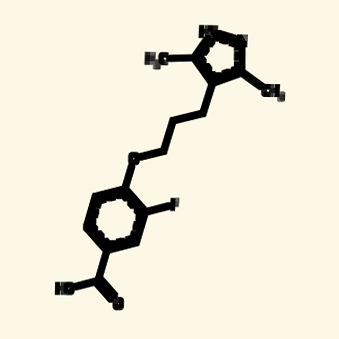 Cc1n[nH]c(C)c1CCCOc1ccc(C(=O)O)cc1F